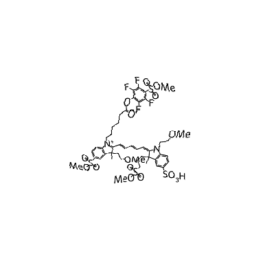 COCCN1/C(=C/C=C/C=C/C2=[N+](CCCCCC(=O)Oc3c(F)c(F)c(S(=O)(=O)OC)c(F)c3F)c3ccc(S(=O)(=O)OC)cc3C2(C)CCOC)C(C)(CCCS(=O)(=O)OC)c2cc(S(=O)(=O)O)ccc21